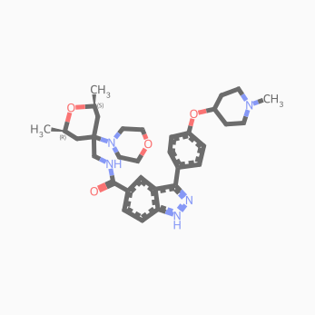 C[C@@H]1CC(CNC(=O)c2ccc3[nH]nc(-c4ccc(OC5CCN(C)CC5)cc4)c3c2)(N2CCOCC2)C[C@H](C)O1